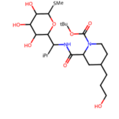 CSC1OC(C(NC(=O)C2CC(CCCO)CCN2C(=O)OC(C)(C)C)C(C)C)C(O)C(O)C1O